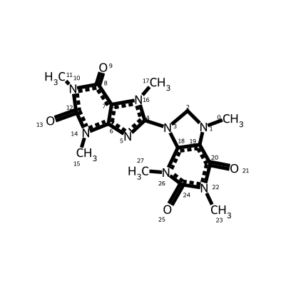 CN1CN(c2nc3c(c(=O)n(C)c(=O)n3C)n2C)c2c1c(=O)n(C)c(=O)n2C